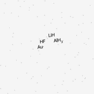 F.[AlH3].[Au].[LiH]